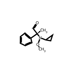 CON(C1CC1)[C@@](C)([C]=O)c1ccccc1